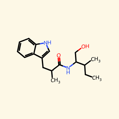 CCC(C)C(CO)NC(=O)[C](C)Cc1c[nH]c2ccccc12